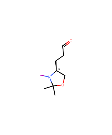 CC1(C)OC[C@H](CCC=O)N1I